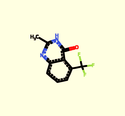 Cc1nc2cccc(C(F)(F)F)c2c(=O)[nH]1